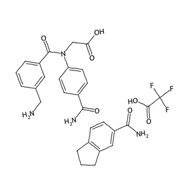 NC(=O)c1ccc2c(c1)CCC2.NCc1cccc(C(=O)N(CC(=O)O)c2ccc(C(N)=O)cc2)c1.O=C(O)C(F)(F)F